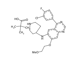 CC(C)(C)C(=O)O.COCCOc1cc2ncnc(-c3ccc(F)c(Cl)c3)c2cc1NC1CCNCC1